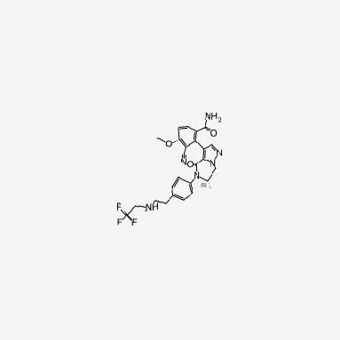 COc1ccc(C(N)=O)c(-c2cnn3c2C(=O)N(c2ccc(CCNCC(F)(F)F)cc2)[C@@H](C)C3)c1C#N